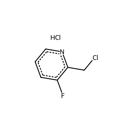 Cl.Fc1cccnc1CCl